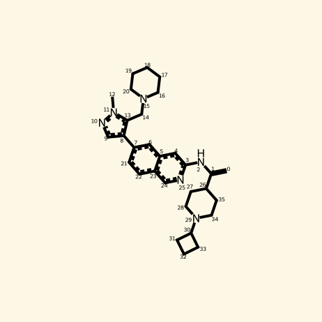 C=C(Nc1cc2cc(-c3cnn(C)c3CN3CCCCC3)ccc2cn1)C1CCN(C2CCC2)CC1